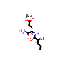 C=C/C=C(\CC)C(=O)N[C@@H](CCC(=O)OC(C)(C)C)C(N)=O